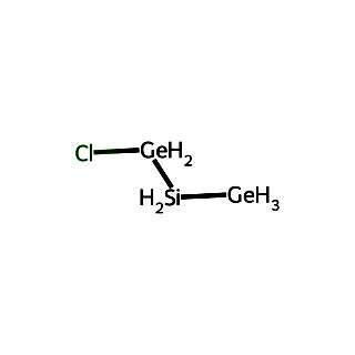 [Cl][GeH2][SiH2][GeH3]